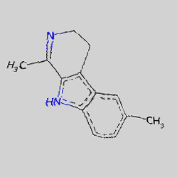 CC1=NCCc2c1[nH]c1ccc(C)cc21